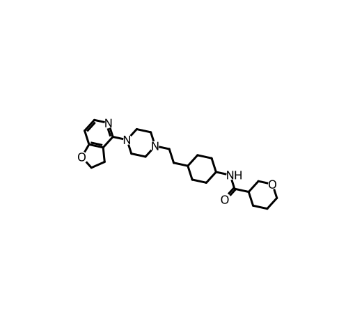 O=C(NC1CCC(CCN2CCN(c3nccc4c3CCO4)CC2)CC1)C1CCCOC1